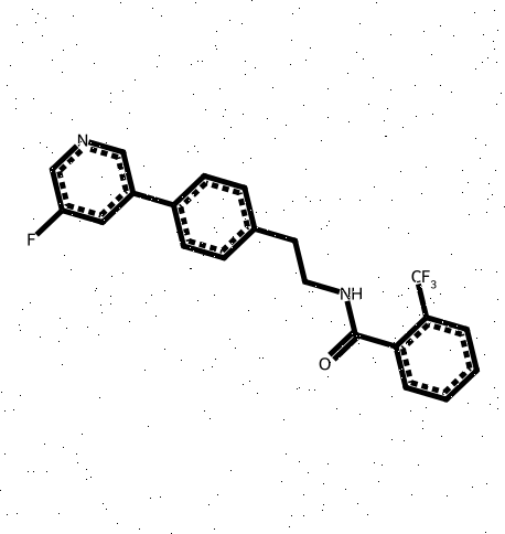 O=C(NCCc1ccc(-c2cncc(F)c2)cc1)c1ccccc1C(F)(F)F